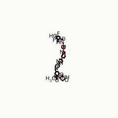 Cn1c(=O)n(C2CCC(=O)NC2=O)c2ccc(CN3CCN(c4ncc(-c5ccn6cc([C@]78CC[C@](CNC(=O)c9cc(F)c(O)c(F)c9F)(CC7)CC8)nc6c5)cn4)CC3)cc21